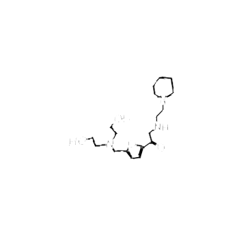 O=C(CNCCN1CC[CH]CC1)c1ccc(CN(CCO)CCO)o1